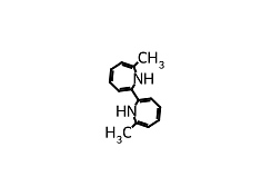 CC1=CC=CC=C(C2=CC=CC=C(C)N2)N1